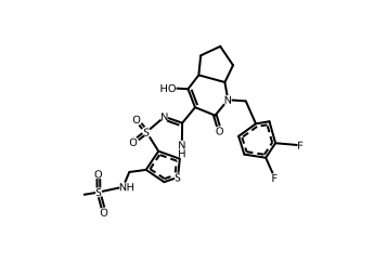 CS(=O)(=O)NCc1csc2c1S(=O)(=O)N=C(C1=C(O)C3CCCC3N(Cc3ccc(F)c(F)c3)C1=O)N2